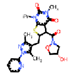 Cc1nn(-c2ccccn2)c(C)c1CC1Sc2c(c(=O)n(C)c(=O)n2C(C)C)C1C(=O)N1C[C@H](O)CO1